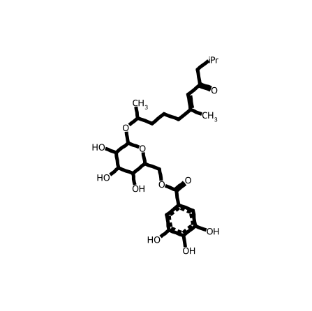 CC(=CC(=O)CC(C)C)CCCC(C)OC1OC(COC(=O)c2cc(O)c(O)c(O)c2)C(O)C(O)C1O